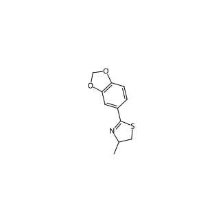 CC1CSC(c2ccc3c(c2)OCO3)=N1